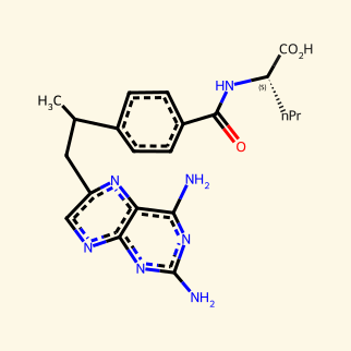 CCC[C@H](NC(=O)c1ccc(C(C)Cc2cnc3nc(N)nc(N)c3n2)cc1)C(=O)O